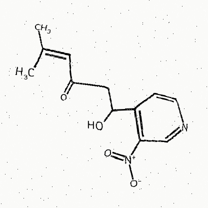 CC(C)=CC(=O)CC(O)c1ccncc1[N+](=O)[O-]